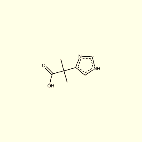 CC(C)(C(=O)O)c1c[nH][c]n1